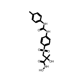 Cc1ccc(NC(=O)Nc2ccc(S(=O)(=O)CC(C)(O)C(=O)NO)cc2)cc1